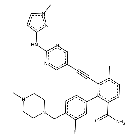 Cc1ccc(C(N)=O)c(-c2ccc(CN3CCN(C)CC3)c(F)c2)c1C#Cc1cnc(Nc2ccn(C)n2)nc1